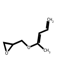 C=CC=C(C)OCC1CO1